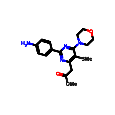 COC(=O)Cc1nc(-c2ccc(N)cc2)nc(N2CCOCC2)c1SC